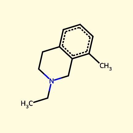 CCN1CCc2cccc(C)c2C1